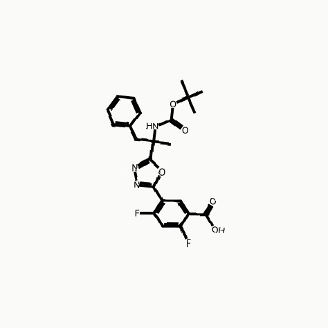 CC(C)(C)OC(=O)NC(C)(Cc1ccccc1)c1nnc(-c2cc(C(=O)O)c(F)cc2F)o1